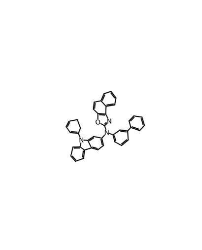 C1=CCCC(n2c3ccccc3c3ccc(N(c4cccc(-c5ccccc5)c4)c4nc5c(ccc6ccccc65)o4)cc32)=C1